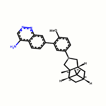 COc1ccc(B2C[C@@H]3C[C@@H]4C[C@@H](C4(C)C)[C@]3(C)C2)cc1-c1ccc2c(N)cnnc2c1